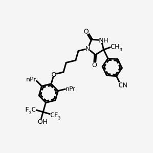 CCCc1cc(C(O)(C(F)(F)F)C(F)(F)F)cc(CCC)c1OCCCCN1C(=O)NC(C)(c2ccc(C#N)cc2)C1=O